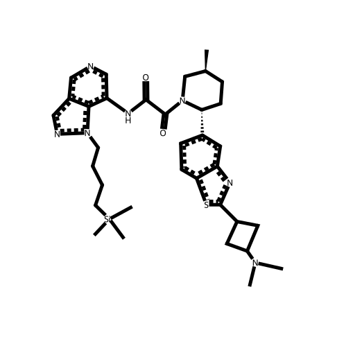 C[C@H]1CC[C@H](c2ccc3sc(C4CC(N(C)C)C4)nc3c2)N(C(=O)C(=O)Nc2cncc3cnn(CCCC[Si](C)(C)C)c23)C1